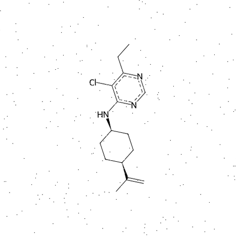 C=C(C)[C@H]1CC[C@@H](Nc2ncnc(CC)c2Cl)CC1